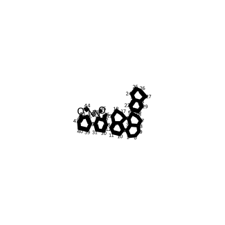 C1CCC2CCCCC2C1.c1ccc2c(c1)CCCC2.c1ccc2ccccc2c1.c1ccc2nocc2c1.c1ccc2ocnc2c1